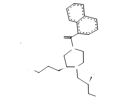 CCCC[C@H]1CN(C(=O)c2cccc3ccccc23)CCN1C[C@@H](N)CS.Cl.Cl